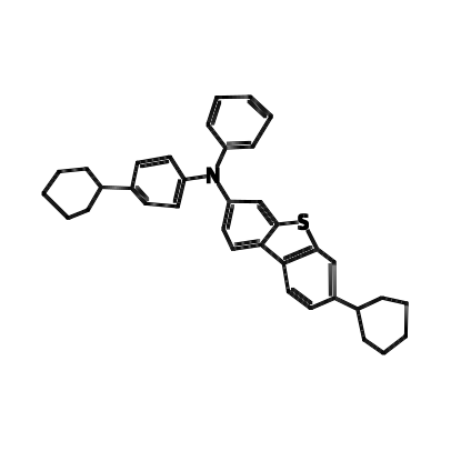 c1ccc(N(c2ccc(C3CCCCC3)cc2)c2ccc3c(c2)sc2cc(C4CCCCC4)ccc23)cc1